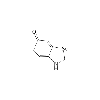 O=C1C=C2[Se]CNC2=CC1